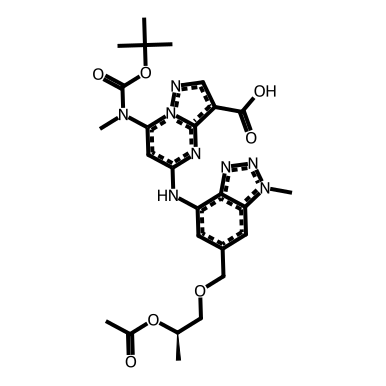 CC(=O)O[C@H](C)COCc1cc(Nc2cc(N(C)C(=O)OC(C)(C)C)n3ncc(C(=O)O)c3n2)c2nnn(C)c2c1